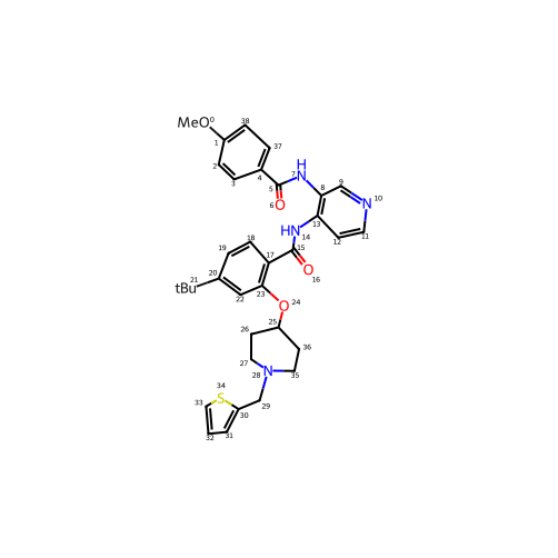 COc1ccc(C(=O)Nc2cnccc2NC(=O)c2ccc(C(C)(C)C)cc2OC2CCN(Cc3cccs3)CC2)cc1